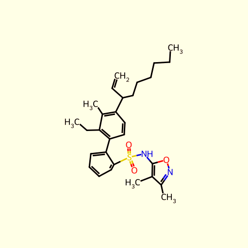 C=CC(CCCCCC)c1ccc(-c2ccccc2S(=O)(=O)Nc2onc(C)c2C)c(CC)c1C